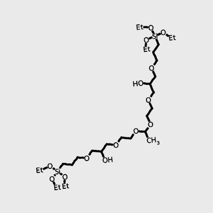 CCO[Si](CCCOCC(O)COCCOC(C)OCCOCC(O)COCCC[Si](OCC)(OCC)OCC)(OCC)OCC